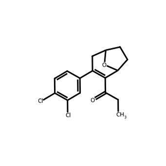 CCC(=O)C1=C(c2ccc(Cl)c(Cl)c2)CC2CCC1O2